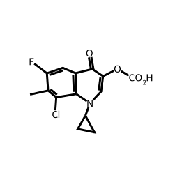 Cc1c(F)cc2c(=O)c(OC(=O)O)cn(C3CC3)c2c1Cl